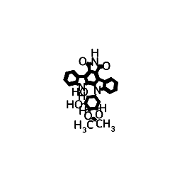 CC1(C)O[C@H]2[C@H](O)[C@H](O)[C@@H](n3c4ccccc4c4c5c(c6c7ccccc7[nH]c6c43)C(=O)NC5=O)C[C@H]2O1